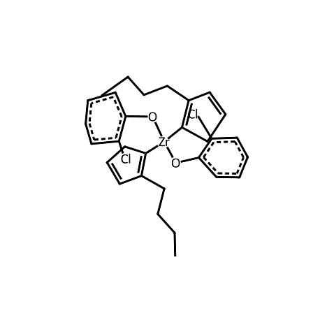 CCCCC1=[C]([Zr]([O]c2ccccc2Cl)([O]c2ccccc2Cl)[C]2=C(CCCC)C=CC2)CC=C1